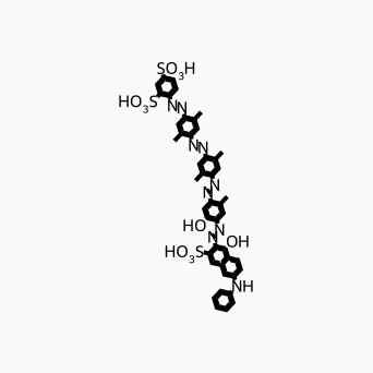 Cc1cc(N=Nc2cc(O)c(N=Nc3c(S(=O)(=O)O)cc4cc(Nc5ccccc5)ccc4c3O)cc2C)c(C)cc1N=Nc1cc(C)c(N=Nc2ccc(S(=O)(=O)O)cc2S(=O)(=O)O)cc1C